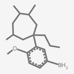 Bc1ccc(OC)c(C2(CCC)CC(C)CC(C)C(C)C2)c1